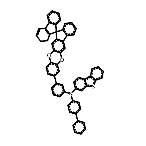 C1=CC2=C(CC1)C1(c3ccccc32)c2ccccc2-c2cc3c(cc21)Oc1ccc(-c2cccc(N(c4ccc(-c5ccccc5)cc4)c4ccc5c(c4)sc4ccccc45)c2)cc1O3